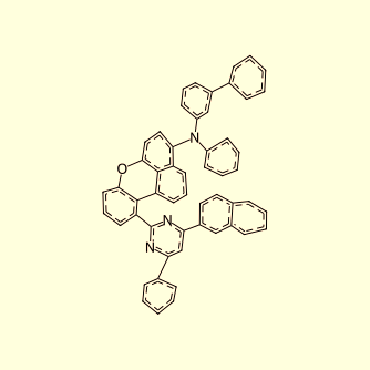 c1ccc(-c2cccc(N(c3ccccc3)c3ccc4c5c(cccc35)-c3c(cccc3-c3nc(-c5ccccc5)cc(-c5ccc6ccccc6c5)n3)O4)c2)cc1